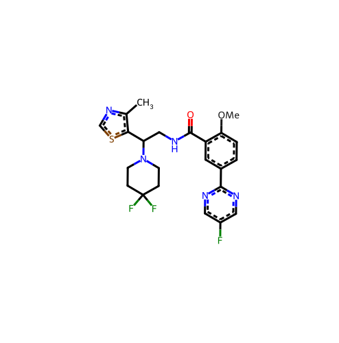 COc1ccc(-c2ncc(F)cn2)cc1C(=O)NCC(c1scnc1C)N1CCC(F)(F)CC1